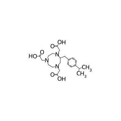 CC(C)c1ccc(CC2CN(CC(=O)O)CCN(CC(=O)O)CCN2CC(=O)O)cc1